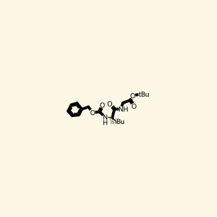 CC[C@H](C)[C@H](NC(=O)OCc1ccccc1)C(=O)NCC(=O)OC(C)(C)C